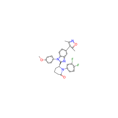 COc1ccc(-n2c([C@@H]3CCCC(=O)N3c3ccc(F)c(F)c3)nc3cc(-c4c(C)noc4C)ccc32)cc1